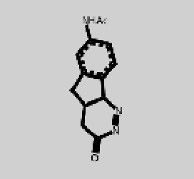 CC(=O)Nc1ccc2c(c1)CC1CC(=O)N=NC21